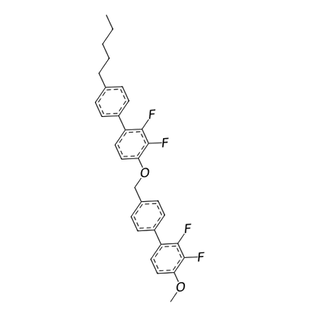 CCCCCc1ccc(-c2ccc(OCc3ccc(-c4ccc(OC)c(F)c4F)cc3)c(F)c2F)cc1